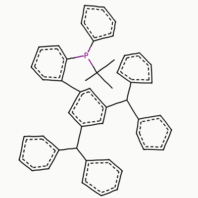 CC(C)(C)P(c1ccccc1)c1ccccc1-c1cc(C(c2ccccc2)c2ccccc2)cc(C(c2ccccc2)c2ccccc2)c1